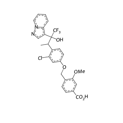 COc1cc(C(=O)O)ccc1COc1ccc(C(C)C(O)(c2cnn3ccccc23)C(F)(F)F)c(Cl)c1